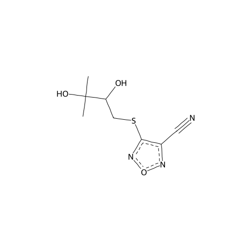 CC(C)(O)C(O)CSc1nonc1C#N